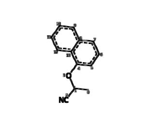 C[C](C#N)Oc1cccc2ccccc12